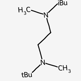 CCC(C)N(C)CCN(C)C(C)(C)C